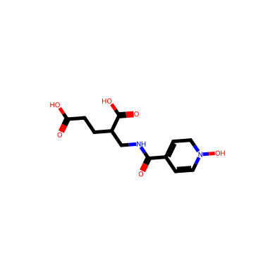 O=C(O)CCC(CNC(=O)C1=CCN(O)C=C1)C(=O)O